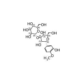 COc1ccc([C@H]2O[C@H](CO)[C@H](O)[C@H](O[C@H]3O[C@H](CO)[C@@H](O)[C@H](O)[C@@H]3O)[C@H]2O)cc1O